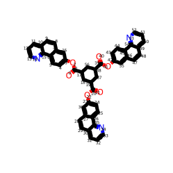 O=C(Oc1ccc2c(ccc3cccnc32)c1)C1CC(C(=O)Oc2ccc3c(ccc4cccnc43)c2)CC(C(=O)Oc2ccc3c(ccc4cccnc43)c2)C1